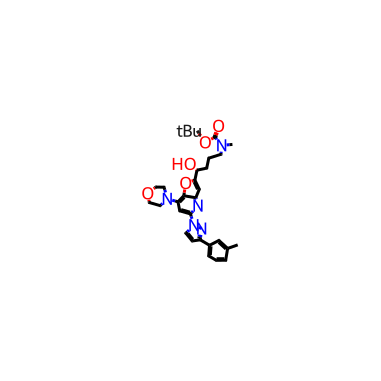 Cc1cccc(-c2ccn(-c3cc(N4CCOCC4)c4oc(C(O)CCCN(C)C(=O)OC(C)(C)C)cc4n3)n2)c1